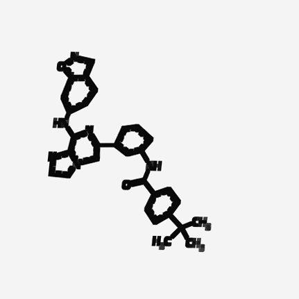 CC(C)(C)c1ccc(C(=O)Nc2cccc(-c3cn4ccnc4c(Nc4ccc5cnoc5c4)n3)c2)cc1